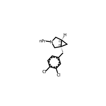 CCCN1C[C@H]2C[C@@]2(Cc2ccc(Cl)c(Cl)c2)C1